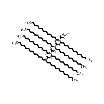 CCCCCCCCCCCCCN(CCCCCCCCCCCCC)C(=S)[S-].CCCCCCCCCCCCCN(CCCCCCCCCCCCC)C(=S)[S-].CCCCCCCCCCCCCN(CCCCCCCCCCCCC)C(=S)[S-].CCCCCCCCCCCCCN(CCCCCCCCCCCCC)C(=S)[S-].[Mo+4]